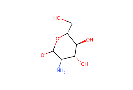 N[C@@H]1C([O])O[C@H](CO)[C@@H](O)[C@@H]1O